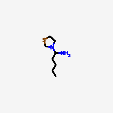 CCCCC(N)N1CCSC1